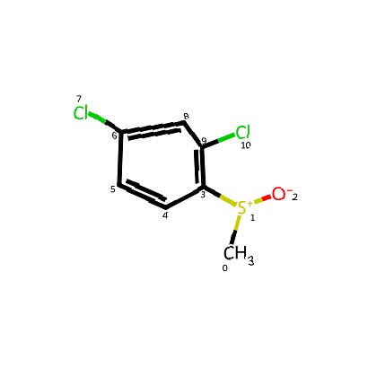 C[S+]([O-])c1ccc(Cl)cc1Cl